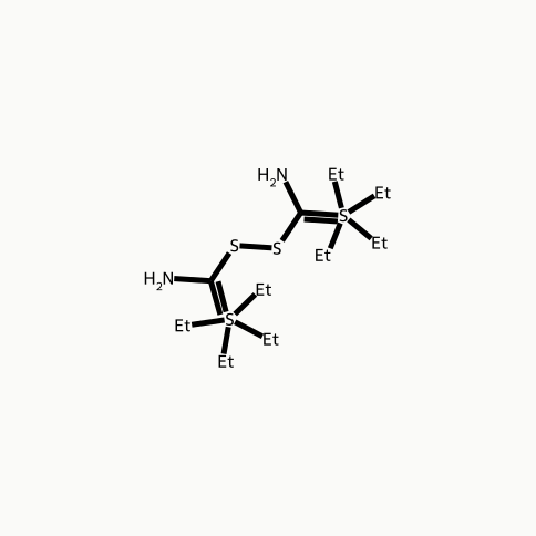 CCS(CC)(CC)(CC)=C(N)SSC(N)=S(CC)(CC)(CC)CC